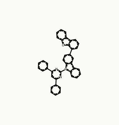 c1ccc(-c2cc(-c3ccccc3)nc(-n3c4ccccc4c4cc(-c5cccc6c5oc5ccccc56)ccc43)n2)cc1